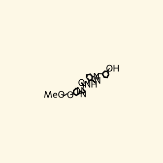 COCCOc1ccn2c(C(=O)Nc3cccc4c3cnn4Cc3cccc(O)c3)cnc2c1